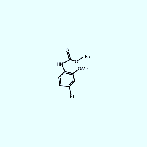 CCc1ccc(NC(=O)OC(C)(C)C)c(OC)c1